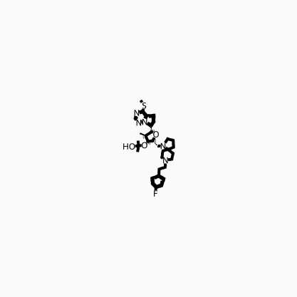 CSc1ncnn2c([C@@H]3O[C@H](CN4CCCC45CCN(CCc4ccc(F)cc4)CC5)[C@@H](OC(C)(C)O)[C@H]3C)ccc12